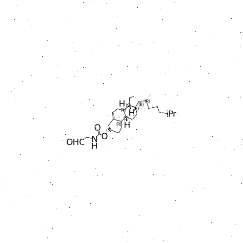 CC(C)CCC[C@@H](C)[C@H]1CC[C@H]2[C@@H]3CC=C4C[C@@H](OC(=O)NCC=O)CC[C@]4(C)[C@H]3CC[C@]12C